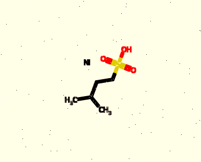 CC(C)CCS(=O)(=O)O.[Ni]